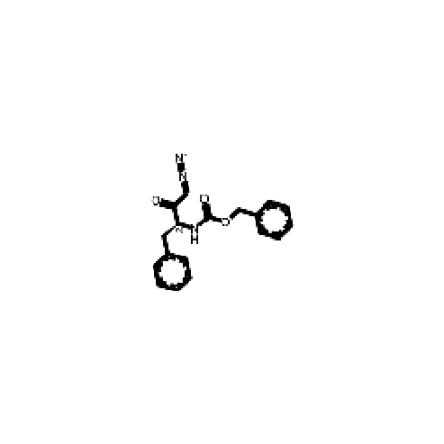 [N-]=[N+]=CC(=O)[C@H](Cc1ccccc1)NC(=O)OCc1ccccc1